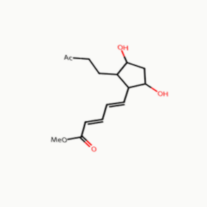 COC(=O)C=CC=CC1C(O)CC(O)C1CCC(C)=O